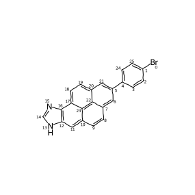 Brc1ccc(-c2cc3ccc4cc5[nH]cnc5c5ccc(c2)c3c45)cc1